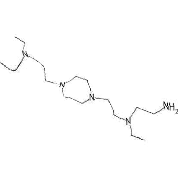 CCN(CC)CCN1CCN(CCN(CC)CCN)CC1